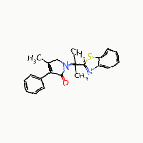 CC1=C(c2ccccc2)C(=O)N(C(C)(C)c2nc3ccccc3s2)C1